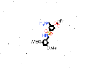 CCCC(=O)Oc1ccc(S(=O)(=O)NCc2cc(OC)cc(OC)c2)cc1CN